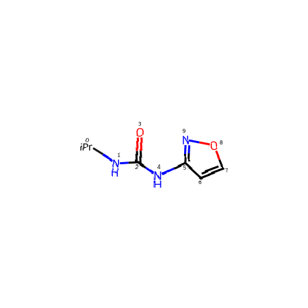 CC(C)NC(=O)Nc1ccon1